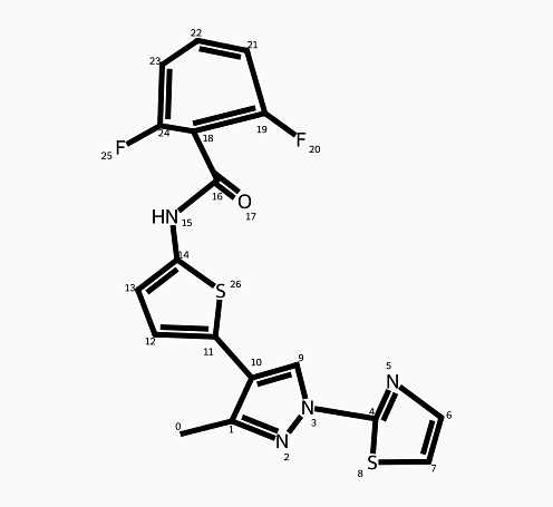 Cc1nn(-c2nccs2)cc1-c1ccc(NC(=O)c2c(F)cccc2F)s1